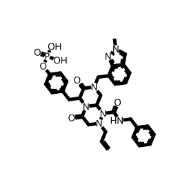 C=CCN1CC(=O)N2C(Cc3ccc(OP(=O)(O)O)cc3)C(=O)N(Cc3cccc4cn(C)nc34)CC2N1C(=O)NCc1ccccc1